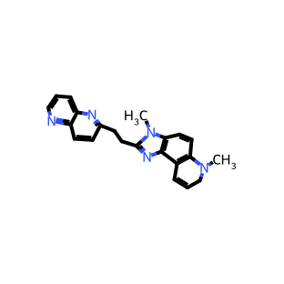 CN1CC=Cc2c1ccc1c2nc(CCc2ccc3ncccc3n2)n1C